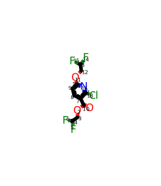 O=C(OCC(F)F)c1ccc(OCC(F)F)nc1Cl